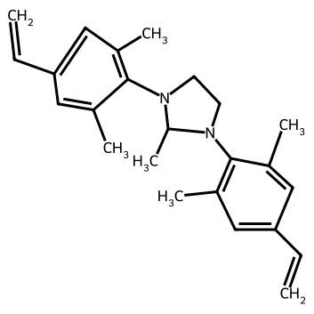 C=Cc1cc(C)c(N2CCN(c3c(C)cc(C=C)cc3C)C2C)c(C)c1